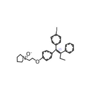 CC/C(=C(/c1ccc(I)cc1)c1ccc(OCC[N+]2([O-])CCCC2)cc1)c1ccccc1